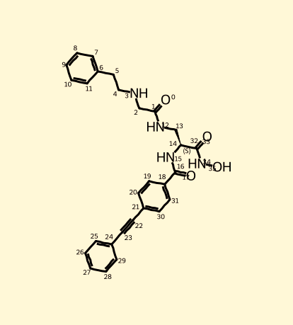 O=C(CNCCc1ccccc1)NC[C@H](NC(=O)c1ccc(C#Cc2ccccc2)cc1)C(=O)NO